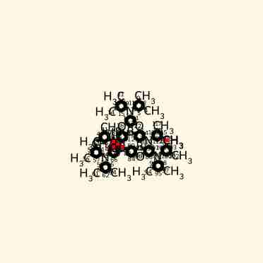 Cc1cc(C)cc(N(c2cc(C)cc(C)c2)c2cc3c4c(c2)Oc2cc5c(cc2B4c2cc4c(cc2O3)N(c2cc(C)cc(C)c2)c2cc(N(c3cc(C)cc(C)c3)c3cc(C)cc(C)c3)cc3c2B4c2cc(C(C)(C)C)ccc2O3)B2c3cc(C(C)(C)C)ccc3Oc3cc(N(c4cc(C)cc(C)c4)c4cc(C)cc(C)c4)cc(c32)N5c2cc(C)cc(C)c2)c1